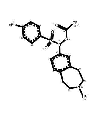 CCCCc1ccc(S(=O)(=O)N(OC(=O)C(F)(F)F)c2ccc3c(c2)CCN(CCC)CC3)cc1